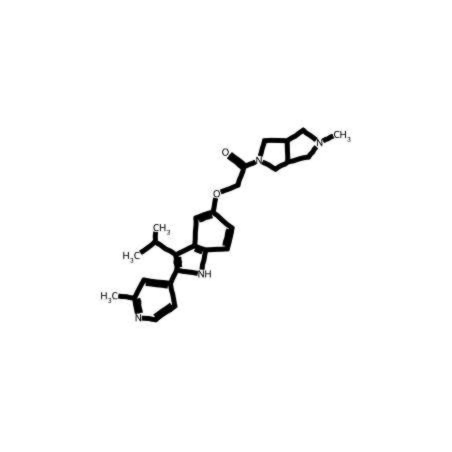 Cc1cc(-c2[nH]c3ccc(OCC(=O)N4CC5CN(C)CC5C4)cc3c2C(C)C)ccn1